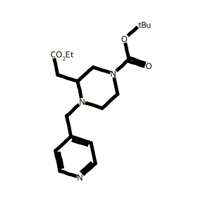 CCOC(=O)CC1CN(C(=O)OC(C)(C)C)CCN1Cc1ccncc1